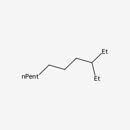 [CH2]CCCCCCCC(C[CH2])CC